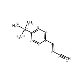 C#CC=Cc1ccc([Si](C)(C)C)cc1